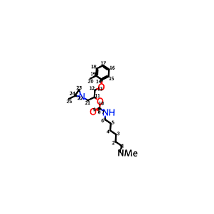 CNCCCCCCNC(=O)OC(COc1ccccc1C)CN1CC1C